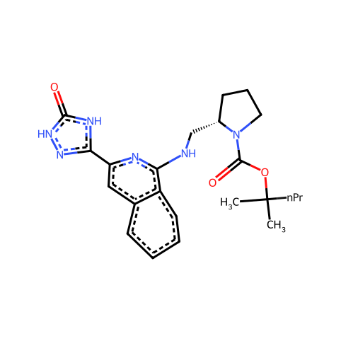 CCCC(C)(C)OC(=O)N1CCC[C@H]1CNc1nc(-c2n[nH]c(=O)[nH]2)cc2ccccc12